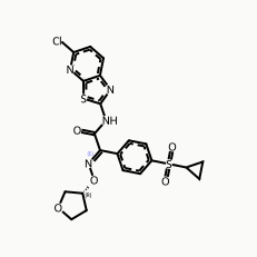 O=C(Nc1nc2ccc(Cl)nc2s1)/C(=N/O[C@@H]1CCOC1)c1ccc(S(=O)(=O)C2CC2)cc1